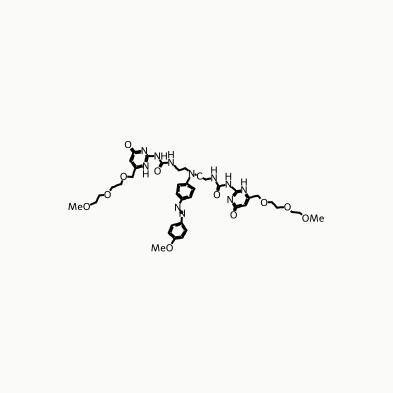 COCCOCCOCc1cc(=O)nc(NC(=O)NCCN(CCNC(=O)Nc2nc(=O)cc(COCCOCCOC)[nH]2)c2ccc(/N=N/c3ccc(OC)cc3)cc2)[nH]1